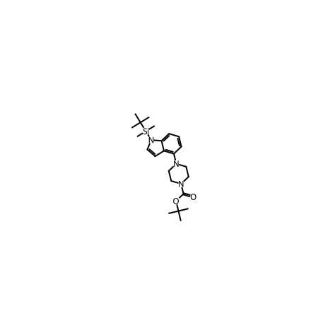 CC(C)(C)OC(=O)N1CCN(c2cccc3c2ccn3[Si](C)(C)C(C)(C)C)CC1